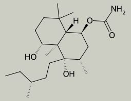 CC[C@@H](C)CC[C@]1(O)[C@@H](C)C[C@H](OC(N)=O)[C@H]2C(C)(C)CC[C@@H](O)[C@@]21C